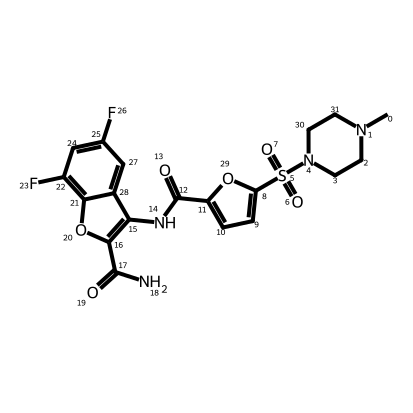 CN1CCN(S(=O)(=O)c2ccc(C(=O)Nc3c(C(N)=O)oc4c(F)cc(F)cc34)o2)CC1